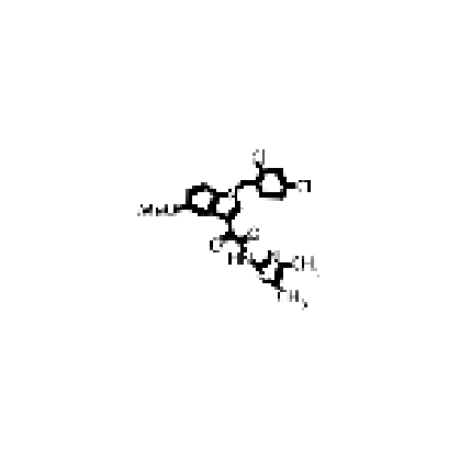 COc1ccc2c(c1)c(C(=O)C(=O)Nc1nc(C)c(C)s1)cn2Cc1ccc(Cl)cc1Cl